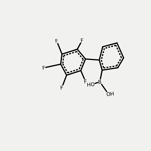 OB(O)c1ccccc1-c1c(F)c(F)c(F)c(F)c1F